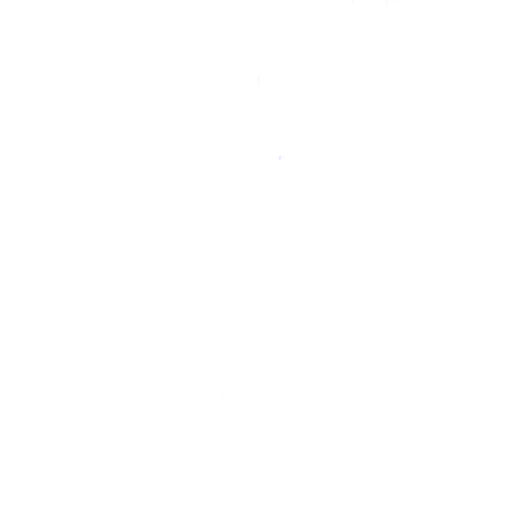 CCOc1ccc(/C=C/C2CCC(c3ccc(C4CCC(CC)CC4)c(F)c3F)CC2)c(F)c1F